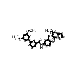 COc1cc(OC)cc(-c2cccc(C(=O)Nc3ccc(Oc4cc(C)nc5ccnn45)c(F)c3)n2)c1